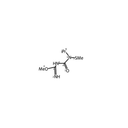 COC(=N)NC(=O)N(SC)C(C)C